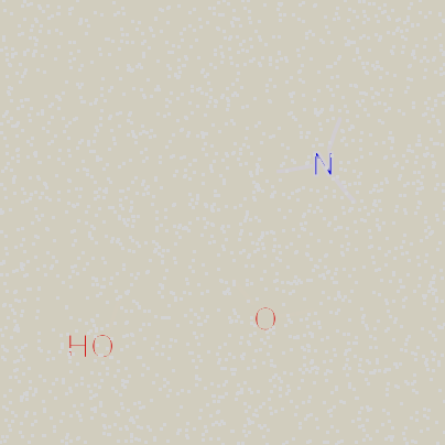 C[C@@H](O)[C@@H]1CN(C)CCO1